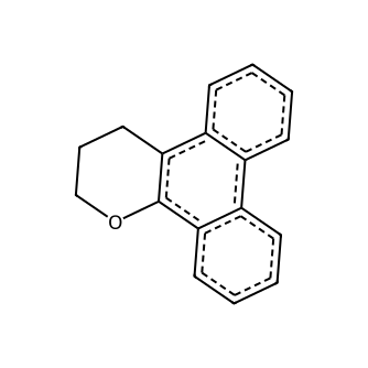 c1ccc2c(c1)c1c(c3ccccc32)OCCC1